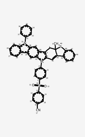 CC12Cc3c(n(-c4ccc(S(=O)(=O)c5ccc(C#N)cc5)cc4)c4cc5c6ccccc6n(-c6ccccc6)c5cc34)C=C1c1ccccc1S2